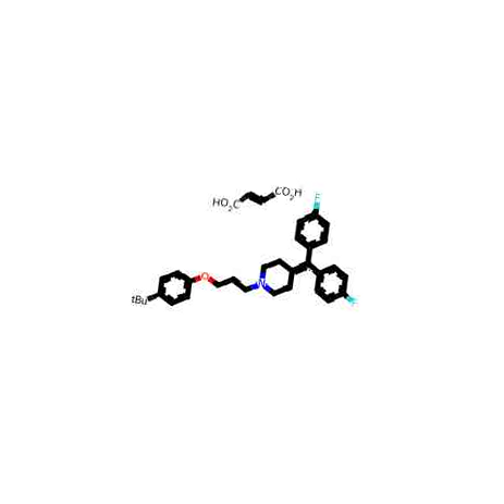 CC(C)(C)c1ccc(OCCCN2CCC(=C(c3ccc(F)cc3)c3ccc(F)cc3)CC2)cc1.O=C(O)/C=C/C(=O)O